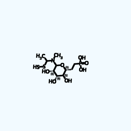 CC(SS)N(C)C1O[C@H](CCP(=O)(O)O)[C@@H](O)[C@H](O)[C@@H]1O